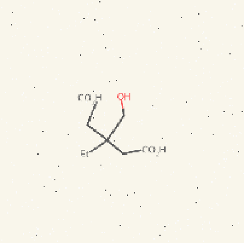 CCC(CO)(CC(=O)O)CC(=O)O